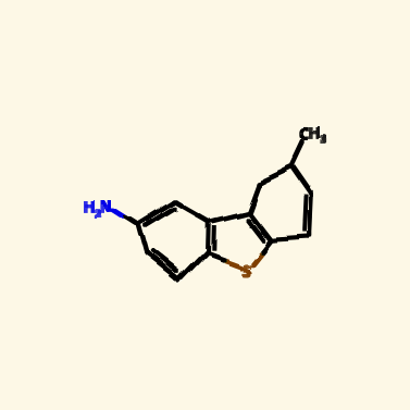 CC1C=Cc2sc3ccc(N)cc3c2C1